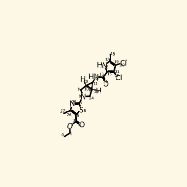 CCOC(=O)c1sc(N2C[C@@H]3C(NC(=O)c4[nH]c(C)c(Cl)c4Cl)[C@@H]3C2)nc1C